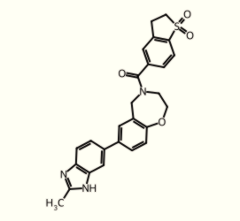 Cc1nc2ccc(-c3ccc4c(c3)CN(C(=O)c3ccc5c(c3)CCS5(=O)=O)CCO4)cc2[nH]1